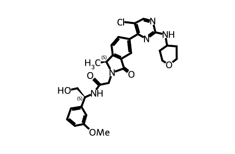 COc1cccc([C@@H](CO)NC(=O)CN2C(=O)c3cc(-c4nc(NC5CCOCC5)ncc4Cl)ccc3[C@@H]2C)c1